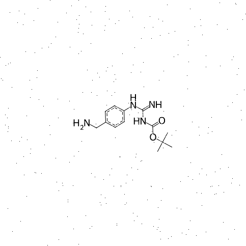 CC(C)(C)OC(=O)NC(=N)Nc1ccc(CN)cc1